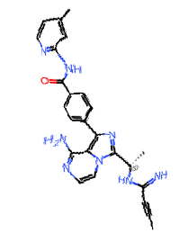 CC#CC(=N)N[C@@H](C)c1nc(-c2ccc(C(=O)Nc3cc(C)ccn3)cc2)c2c(N)nccn12